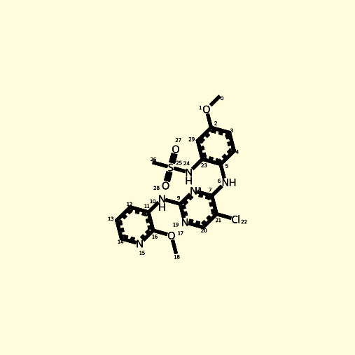 COc1ccc(Nc2nc(Nc3cccnc3OC)ncc2Cl)c(NS(C)(=O)=O)c1